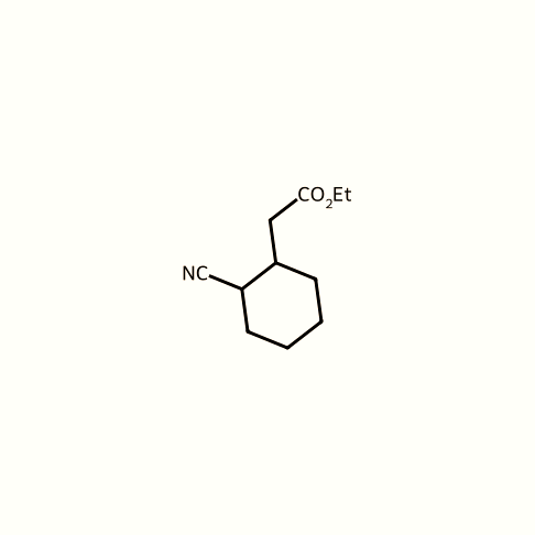 CCOC(=O)CC1CCCCC1C#N